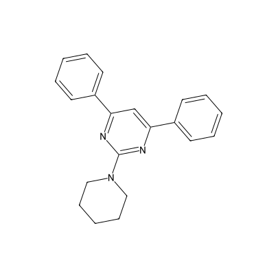 c1ccc(-c2cc(-c3ccccc3)nc(N3CCCCC3)n2)cc1